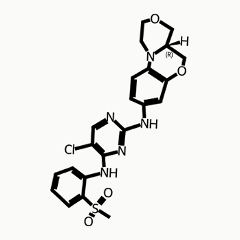 CS(=O)(=O)c1ccccc1Nc1nc(Nc2ccc3c(c2)OC[C@H]2COCCN32)ncc1Cl